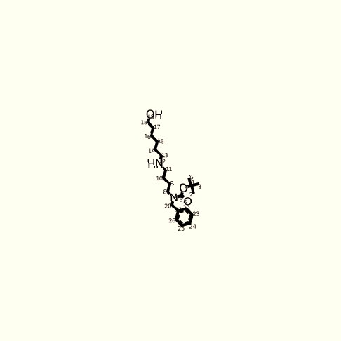 CC(C)(C)OC(=O)N(CCCCNCCCCCCO)Cc1ccccc1